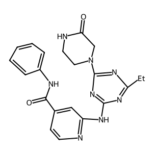 CCc1nc(Nc2cc(C(=O)Nc3ccccc3)ccn2)nc(N2CCNC(=O)C2)n1